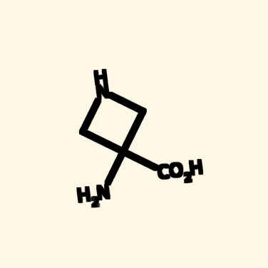 NC1(C(=O)O)CNC1